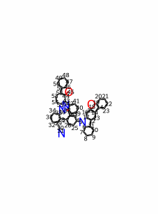 N#Cc1cc(-n2c3ccccc3c3cc4c(cc32)oc2ccccc24)ccc1-c1c(C#N)cccc1N1c2ccccc2C2c3oc4ccccc4c3C=CC21